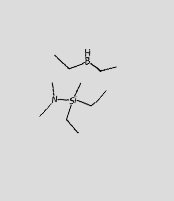 CCBCC.CC[Si](C)(CC)N(C)C